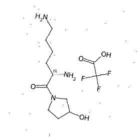 NCCCC[C@H](N)C(=O)N1CCC(O)C1.O=C(O)C(F)(F)F